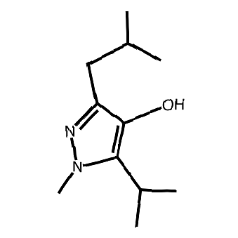 CC(C)Cc1nn(C)c(C(C)C)c1O